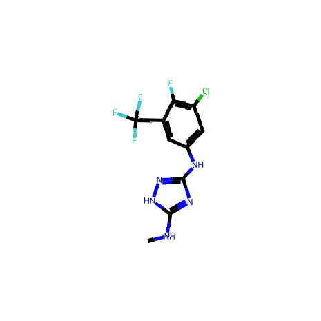 CNc1nc(Nc2cc(Cl)c(F)c(C(F)(F)F)c2)n[nH]1